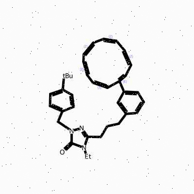 CCn1c(CCCc2cccc(C3=C/C=C\C=C/C=C\C=C/C=C\3)c2)nn(Cc2ccc(C(C)(C)C)cc2)c1=O